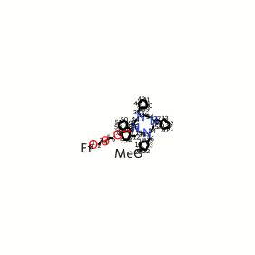 CCOCCOCCOc1ccc(C[C@H]2CN(Cc3ccc(OC)cc3)CCN(Cc3ccccc3)CCN(Cc3ccccc3)CCN2Cc2ccccc2)cc1